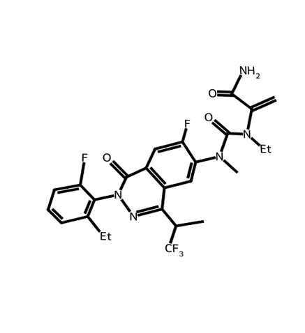 C=C(C(N)=O)N(CC)C(=O)N(C)c1cc2c(C(C)C(F)(F)F)nn(-c3c(F)cccc3CC)c(=O)c2cc1F